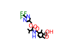 Cc1c(C(=O)N[C@H](C(=O)OCc2cnc(C(F)(F)F)nc2)C(C)C)ccc2c1B(O)OC2